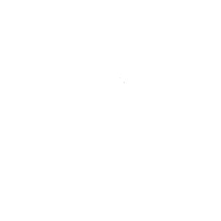 CC(C)OC[C@]12CCCN1C/C(=C\F)C2